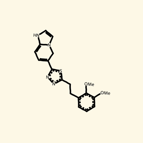 COc1cccc(CCc2nnc(C3=CC=C4NC=CN4C3)s2)c1OC